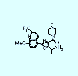 COc1ccc(-c2nc(C(=O)N3CCNCC3)c(C(C)N)o2)c2ccc(C(F)(F)F)nc12